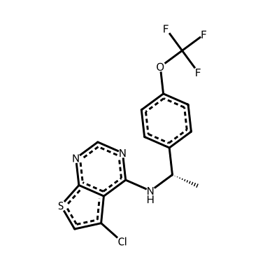 C[C@H](Nc1ncnc2scc(Cl)c12)c1ccc(OC(F)(F)F)cc1